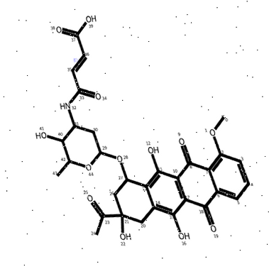 COc1cccc2c1C(=O)c1c(O)c3c(c(O)c1C2=O)CC(O)(C(C)=O)CC3OC1CC(NC(=O)/C=C/C(=O)O)C(O)C(C)O1